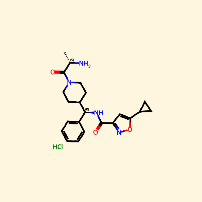 C[C@H](N)C(=O)N1CCC([C@@H](NC(=O)c2cc(C3CC3)on2)c2ccccc2)CC1.Cl